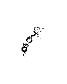 CC(CCN1CCN(c2nc3ccc(Cl)cc3s2)CC1)CC(=O)O